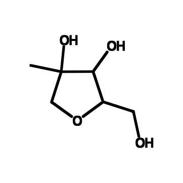 CC1(O)COC(CO)C1O